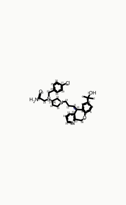 CC(C)(O)c1ccc2c(c1)/C(=C/CCN1CC[C@@H](N(CC(N)=O)Cc3ccc(Cl)cc3)C1)c1cccnc1CO2